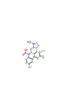 CN1CCCC1CCN(C(=O)O)c1ccc(Cl)cc1-c1ccc(F)c(Cl)c1